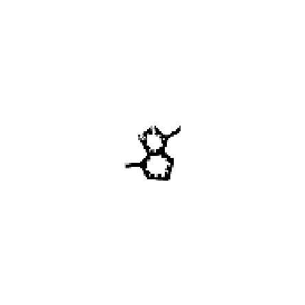 Ic1noc2c(I)cccc12